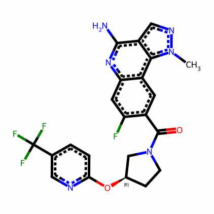 Cn1ncc2c(N)nc3cc(F)c(C(=O)N4CC[C@@H](Oc5ccc(C(F)(F)F)cn5)C4)cc3c21